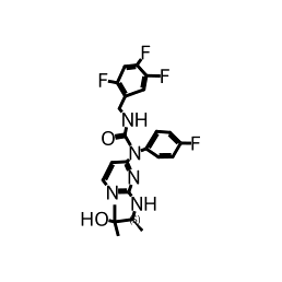 C[C@H](Nc1nccc(N(C(=O)NCc2cc(F)c(F)cc2F)c2ccc(F)cc2)n1)C(C)(C)O